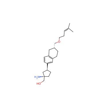 CC(C)=CCCOC[C@@H]1CCc2cc([C@H]3CC[C@](N)(CO)C3)ccc2C1